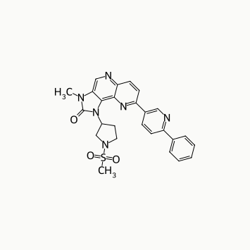 Cn1c(=O)n(C2CCN(S(C)(=O)=O)C2)c2c3nc(-c4ccc(-c5ccccc5)nc4)ccc3ncc21